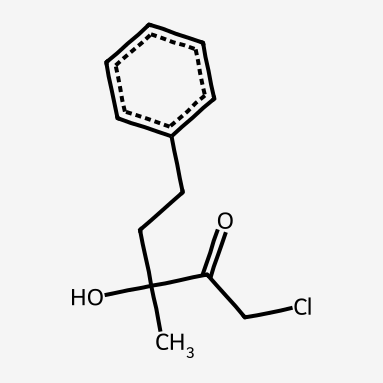 CC(O)(CCc1ccccc1)C(=O)CCl